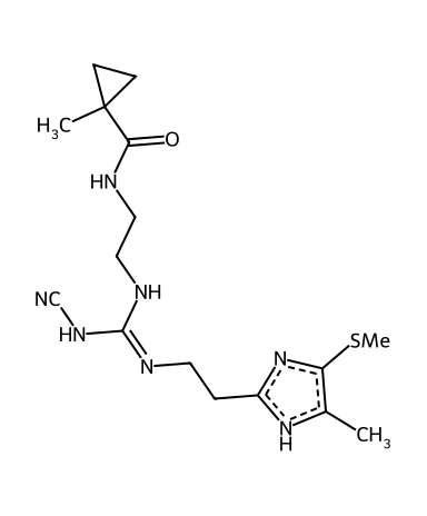 CSc1nc(CCN=C(NC#N)NCCNC(=O)C2(C)CC2)[nH]c1C